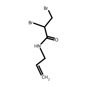 C=CCNC(=O)C(Br)CBr